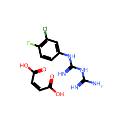 N=C(N)NC(=N)Nc1ccc(F)c(Cl)c1.O=C(O)/C=C\C(=O)O